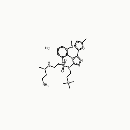 COc1cccc(OC)c1-n1c(-c2ccc(C)o2)nnc1N(CC[Si](C)(C)C)S(=O)(=O)CCN[C@H](C)CCN.Cl